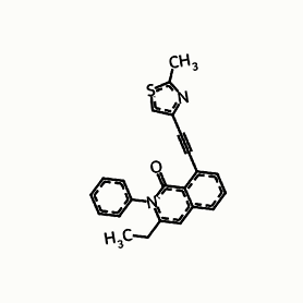 CCc1cc2cccc(C#Cc3csc(C)n3)c2c(=O)n1-c1ccccc1